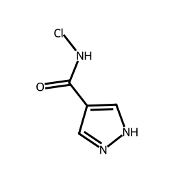 O=C(NCl)c1cn[nH]c1